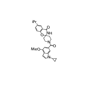 COc1cc(C(=O)N2CCC3(CC2)NC(=O)c2cc(C(C)C)ccc2O3)cc2c1ccn2C1CC1